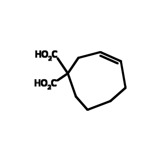 O=C(O)C1(C(=O)O)CC=CCCCC1